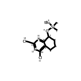 CC(C)(C)[Si](C)(C)OC1CCCc2c(Cl)nc(Cl)nc21